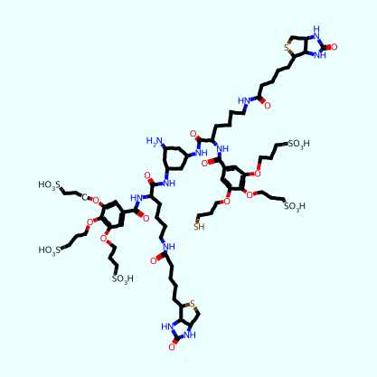 NC1CC(NC(=O)C(CCCCNC(=O)CCCCC2SCC3NC(=O)NC32)NC(=O)c2cc(OCCCS)c(OCCCS(=O)(=O)O)c(OCCCS(=O)(=O)O)c2)CC(NC(=O)C(CCCCNC(=O)CCCCC2SCC3NC(=O)NC32)NC(=O)c2cc(OCCCS(=O)(=O)O)c(OCCCS(=O)(=O)O)c(OCCCS(=O)(=O)O)c2)C1